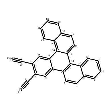 N#Cc1cc2c3ccc4ccccc4c3c3ccc4ccccc4c3c2cc1C#N